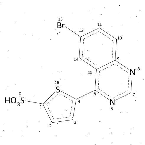 O=S(=O)(O)c1ccc(-c2ncnc3ccc(Br)cc23)s1